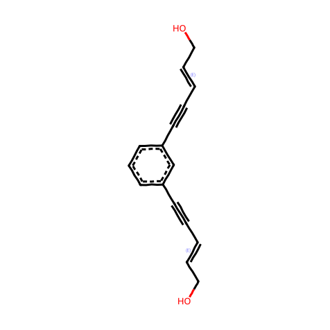 OC/C=C/C#Cc1cccc(C#C/C=C/CO)c1